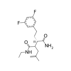 C=C(C)CC(C(=O)NCC)[C@H](CCc1cc(F)cc(F)c1)C(N)=O